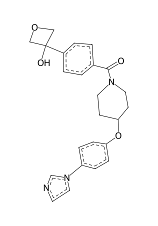 O=C(c1ccc(C2(O)COC2)cc1)N1CCC(Oc2ccc(-n3ccnc3)cc2)CC1